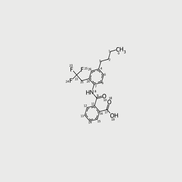 CCCCc1ccc(NC(=O)c2ccccc2C(=O)O)c(CC(F)(F)F)c1